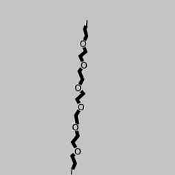 ICCOCCOCCOCCOCCOCCOCCI